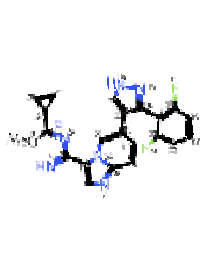 CO/C(=N\C(=N)c1cnc2ccc(-c3c[nH]nc3-c3c(F)cccc3F)cn12)C1CC1